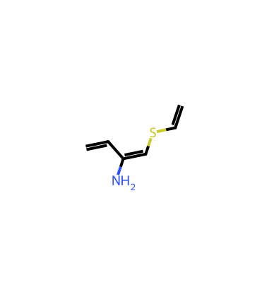 C=CS/C=C(/N)C=C